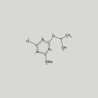 COc1nc(Cl)nc(OC(C)O)n1